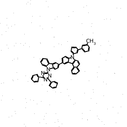 Cc1cccc(-c2cccc(-n3c4ccc(-c5ccc6c(c5)c5ccccc5n6-c5nc(-c6ccccc6)nc(-c6ccccc6)n5)cc4c4c5ccccc5ccc43)c2)c1